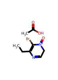 CC(=O)O.CCC1=C(Br)[N+](=O)CC=N1